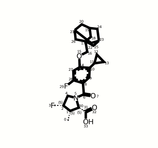 C[C@@H]1[C@H](F)CN(C(=O)c2cc(C3CC3)c(OCC34CC5CC(CC(C5)C3)C4)cc2F)[C@@H]1C(=O)O